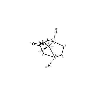 O=C1C[C@H]2CC[C@@H](C1)[C@@H]2O